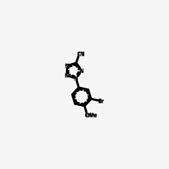 COc1ccc(-n2nnc(C#N)n2)cc1Br